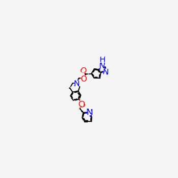 O=C(OCN1CCc2ccc(OCc3ccccn3)cc2C1)c1ccc2nc[nH]c2c1